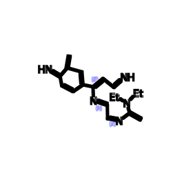 C=C1C=C(C(=C/C=N)/N=C/C=N\C(=C)N(CC)CC)C=CC1=N